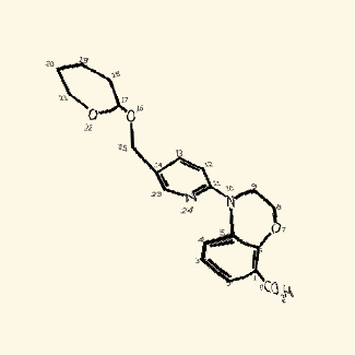 O=C(O)c1cccc2c1OCCN2c1ccc(COC2CCCCO2)cn1